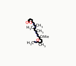 C/C=C/C1OC(C(/C=C/C=C(\C)CC(C)/C=C(C)\C=C\C2CC=CC(=O)O2)OC)CCC1C